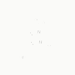 CCOC(=O)c1cn2cc(-c3cccc(O)c3)nc(N3CCOCC3)c2n1